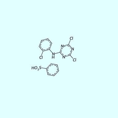 Clc1nc(Cl)nc(Nc2ccccc2Cl)n1.O=S(=O)(O)c1ccccc1